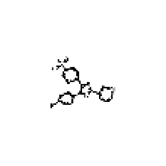 CS(=O)(=O)c1ccc(-c2sc(-c3cccnc3)nc2-c2ccc(F)cc2)cc1